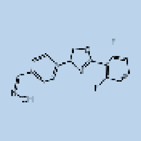 O/N=C\c1ccc(C2COC(c3c(F)cccc3F)=N2)cc1